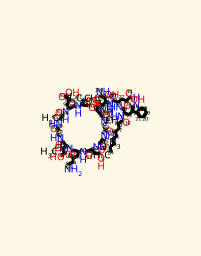 CCCCCCCCCC(=O)NC(Cc1c[nH]c2ccccc12)C(=O)NC(CCC(=O)O)C(=O)NC(C(=O)NC1C(=O)N(C)CC(=O)NC(C)C(=O)NC(CC(=O)O)C(=O)NC(CCCCN)C(=O)NC(C(OC)C(=O)O)C(=O)NCC(=O)NC(C)C(=O)NC(CCC(=O)O)C(=O)NC(C(C)C)C(=O)OC1C)C(O)C(N)=O